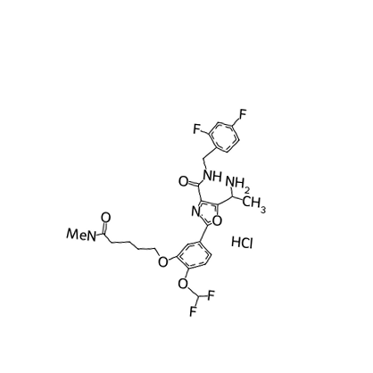 CNC(=O)CCCCOc1cc(-c2nc(C(=O)NCc3ccc(F)cc3F)c(C(C)N)o2)ccc1OC(F)F.Cl